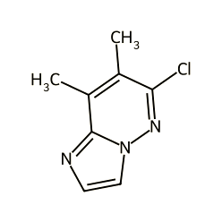 Cc1c(Cl)nn2ccnc2c1C